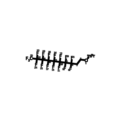 C[CH]COCCC(F)(F)C(F)(F)C(F)(F)C(F)(F)C(F)(F)C(F)(F)C(F)(F)C(F)(F)F